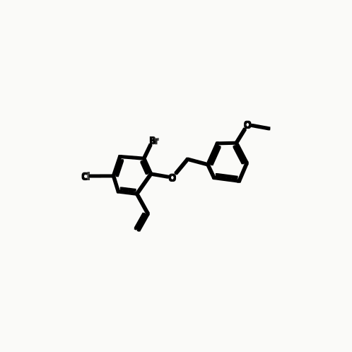 C=Cc1cc(Cl)cc(Br)c1OCc1cccc(OC)c1